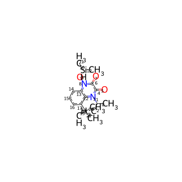 CC(C)n1c(=O)c(=O)n(O[SiH](C)C)c2cccc(C(C)(C)C)c21